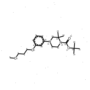 COCCCOc1cccc(N2CCN(C(=O)OC(C)(C)C)C(C)(C)C2)c1